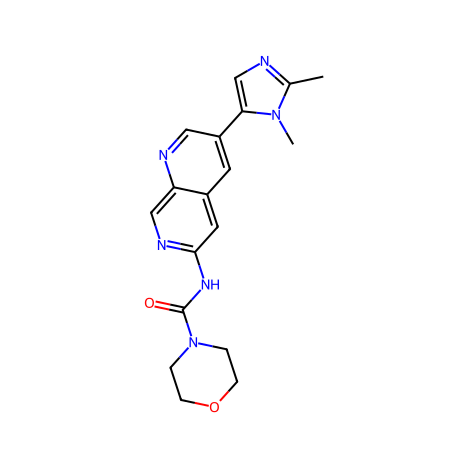 Cc1ncc(-c2cnc3cnc(NC(=O)N4CCOCC4)cc3c2)n1C